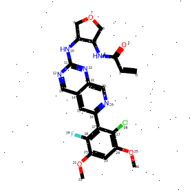 C=CC(=O)NC1COCC1Nc1ncc2cc(-c3c(F)c(OC)cc(OC)c3Cl)ncc2n1